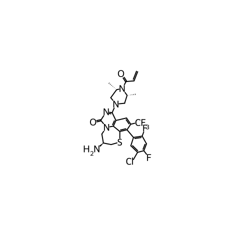 C=CC(=O)N1[C@H](C)CN(c2nc(=O)n3c4c(c(-c5cc(Cl)c(F)cc5F)c(C(F)(F)F)cc24)SC[C@@H](N)C3)C[C@@H]1C